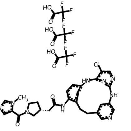 Cn1cncc1C(=O)N1CC[C@H](CC(=O)Nc2ccc3cc2CCc2cncc(c2)Nc2ncc(Cl)c(n2)N3)C1.O=C(O)C(F)(F)F.O=C(O)C(F)(F)F.O=C(O)C(F)(F)F